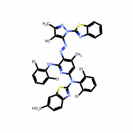 CCc1cccc(CC)c1Nc1nc(N(c2nc3ccc(S(=O)(=O)O)cc3s2)c2c(CC)cccc2CC)cc(C)c1N=Nc1c(C#N)c(C)nn1-c1nc2ccccc2s1